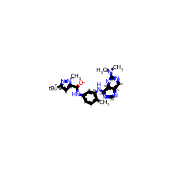 Cc1ccc(NC(=O)c2cc(C(C)(C)C)nn2C)cc1Nc1ncnc2cnc(N(C)C)nc12